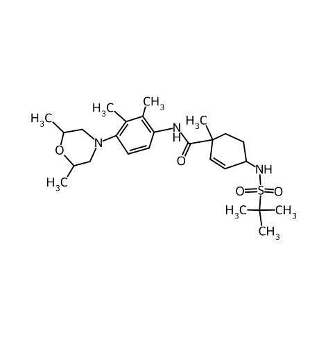 Cc1c(NC(=O)C2(C)C=CC(NS(=O)(=O)C(C)(C)C)CC2)ccc(N2CC(C)OC(C)C2)c1C